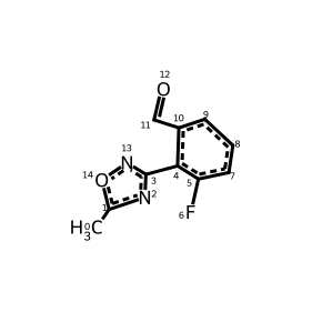 Cc1nc(-c2c(F)cccc2C=O)no1